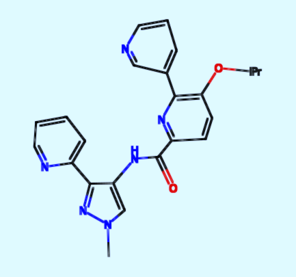 CC(C)Oc1ccc(C(=O)Nc2cn(C)nc2-c2ccccn2)nc1-c1cccnc1